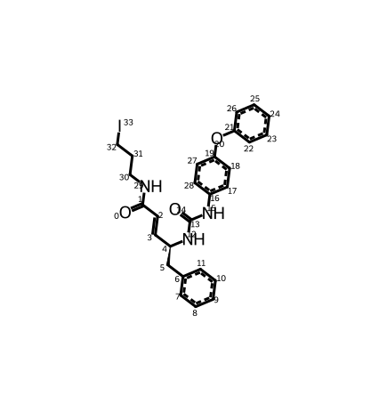 O=C(/C=C/[C@H](Cc1ccccc1)NC(=O)Nc1ccc(Oc2ccccc2)cc1)NCCCI